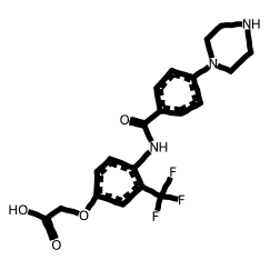 O=C(O)COc1ccc(NC(=O)c2ccc(N3CCNCC3)cc2)c(C(F)(F)F)c1